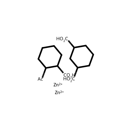 CC(=O)C1CCCCC1C(=O)O.O=C(O)C1CCCC(C(=O)O)C1.[Zn+2].[Zn+2]